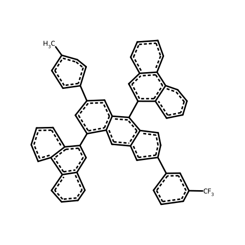 Cc1ccc(-c2cc(-c3cc4ccccc4c4ccccc34)c3cc4cc(-c5cccc(C(F)(F)F)c5)ccc4c(-c4cc5ccccc5c5ccccc45)c3c2)cc1